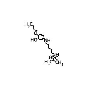 CCCCOc1ccc(NCCCCCNS(=O)(=O)C(C)C)cc1O